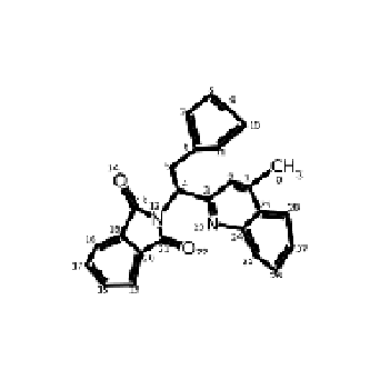 Cc1cc(C(Cc2ccccc2)N2C(=O)c3ccccc3C2=O)nc2ccccc12